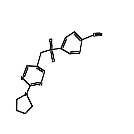 COc1ccc(S(=O)(=O)Cc2cnc(N3CCCC3)nc2)cc1